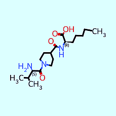 CCCCC[C@@H](NC(=O)C1CCN(C(=O)[C@@H](N)C(C)C)CC1)C(=O)O